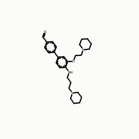 O=Cc1ccc(-c2ccc(NCCCN3CCCCC3)c(OCCN3CCCCC3)c2)cc1